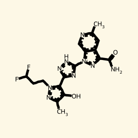 Cc1cc2c(C(N)=O)nn(-c3nc(-c4c(O)c(C)nn4CCC(F)F)n[nH]3)c2cn1